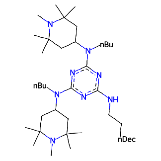 CCCCCCCCCCCCNc1nc(N(CCCC)C2CC(C)(C)N(C)C(C)(C)C2)nc(N(CCCC)C2CC(C)(C)N(C)C(C)(C)C2)n1